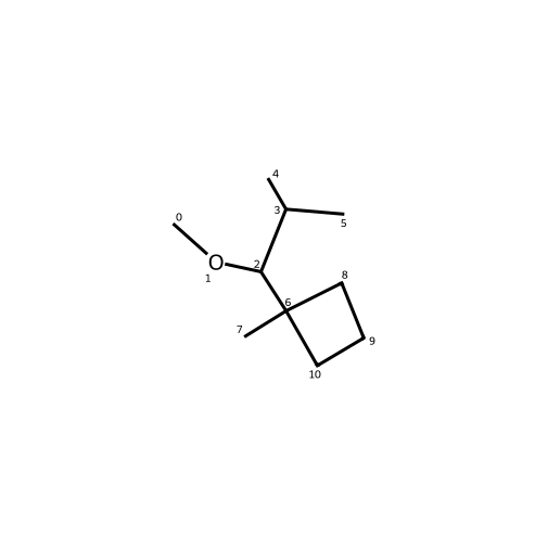 COC(C(C)C)C1(C)CCC1